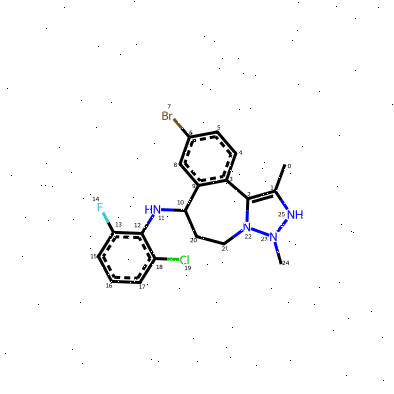 CC1=C2c3ccc(Br)cc3C(Nc3c(F)cccc3Cl)CCN2N(C)N1